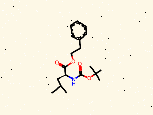 CC(C)C[C@H](NC(=O)OC(C)(C)C)C(=O)OCCc1ccccc1